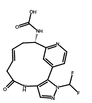 O=C(O)N[C@H]1C/C=C/CC(=O)Nc2cnn(C(F)F)c2-c2ccnc1c2